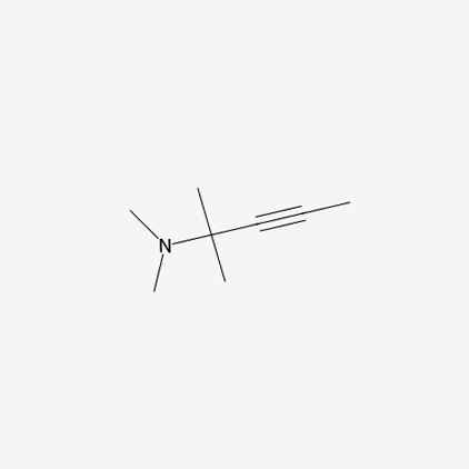 CC#CC(C)(C)N(C)C